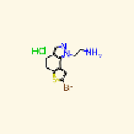 Cl.NCCn1ncc2c1-c1cc(Br)sc1CC2